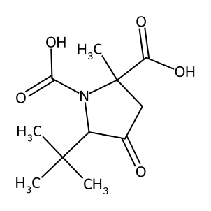 CC(C)(C)C1C(=O)CC(C)(C(=O)O)N1C(=O)O